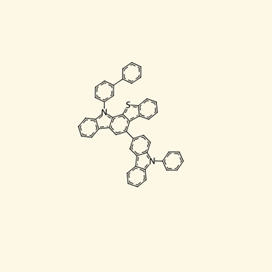 c1ccc(-c2cccc(-n3c4ccccc4c4cc(-c5ccc6c(c5)c5ccccc5n6-c5ccccc5)c5c6ccccc6sc5c43)c2)cc1